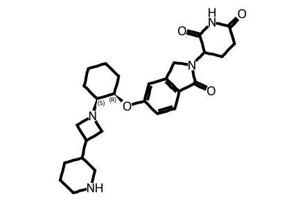 O=C1CCC(N2Cc3cc(O[C@@H]4CCCC[C@@H]4N4CC(C5CCCNC5)C4)ccc3C2=O)C(=O)N1